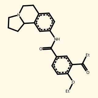 CCOc1ccc(C(=O)Nc2ccc3c(c2)C2CCCN2CC3)cc1C(=O)CC